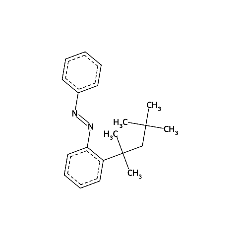 CC(C)(C)CC(C)(C)c1ccccc1N=Nc1ccccc1